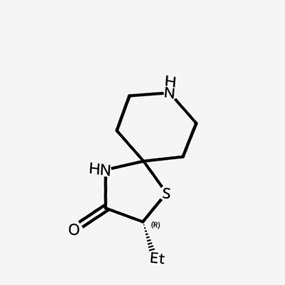 CC[C@H]1SC2(CCNCC2)NC1=O